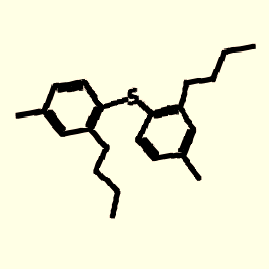 CCCCc1cc(C)ccc1Sc1ccc(C)cc1CCCC